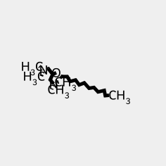 CCCCCCCCCCCCOC(CN(C)C)CN(C)C